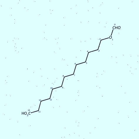 O=COCCCCCCCCCCCCC(=O)O